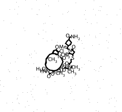 COc1cc2cc(c1Cl)N(C)C(=O)C[C@H](OC(=O)[C@H](C)N(C)C(=O)CCSC1CC(=O)N(CC3CCC(C(N)=O)CC3)C1=O)[C@]1(C)O[C@H]1[C@H](C)[C@@H]1C[C@@](O)(NC(=O)O1)[C@H](C)/C=C/C=C(\C)C2